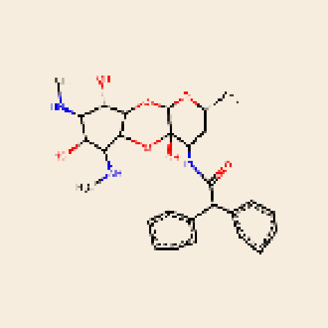 CN[C@@H]1[C@H](O)[C@H](NC)C2O[C@]3(O)C(OC2[C@H]1O)O[C@H](C)C[C@H]3NC(=O)C(c1ccccc1)c1ccccc1